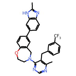 Cc1nc2ccc(-c3ccc4c(c3)CN(c3ncnc(C)c3Cc3cccc(C(F)(F)F)c3)CCO4)cc2[nH]1